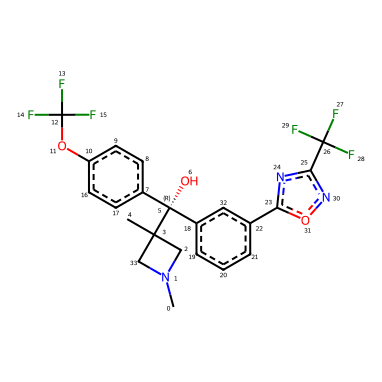 CN1CC(C)([C@@](O)(c2ccc(OC(F)(F)F)cc2)c2cccc(-c3nc(C(F)(F)F)no3)c2)C1